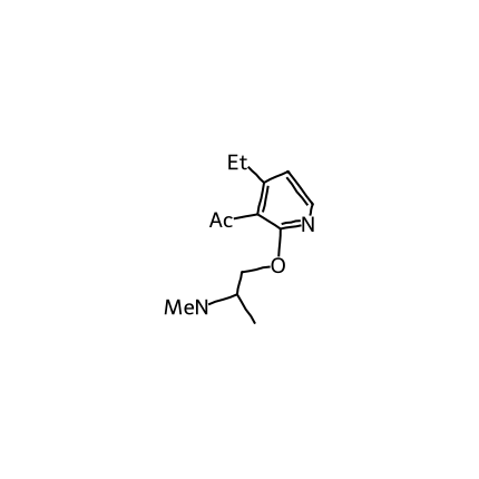 CCc1ccnc(OCC(C)NC)c1C(C)=O